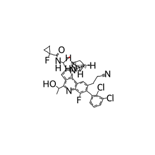 CC(O)c1nc2c(F)c(-c3cccc(Cl)c3Cl)c(CCC#N)cc2c2c1cc(C(C)NC(=O)C1(F)CC1)n2[C@H]1[C@H]2CN[C@@H]1C2